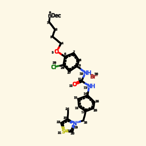 CCCCCCCCCCCCCCOc1ccc(NC(=O)Nc2ccc(C[n+]3cscc3C)cc2)cc1Cl.[Br-]